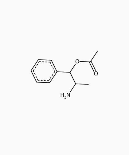 CC(=O)OC(c1ccccc1)C(C)N